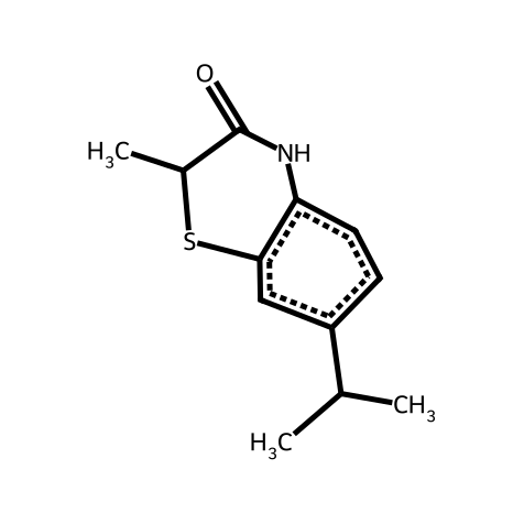 CC1Sc2cc(C(C)C)ccc2NC1=O